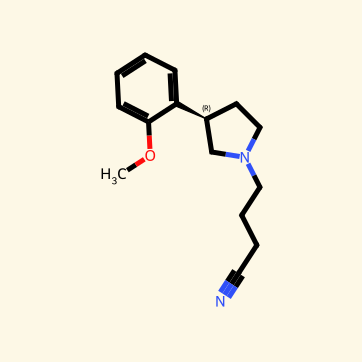 COc1ccccc1[C@H]1CCN(CCCC#N)C1